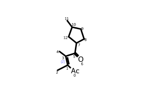 CC(=O)/C(C)=C(/C)C(=O)C1CCC(C)C1